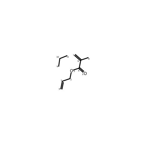 C=CCOC(=O)C(=C)C.CCC